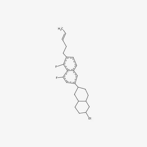 CC=CCCc1ccc2cc(C3CCC4CC(CC)CCC4C3)cc(F)c2c1F